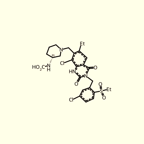 CCc1cc2c(=O)n(Cc3cc(Cl)ccc3S(=O)(=O)CC)c(=O)[nH]c2c(Cl)c1CN1CCC[C@@H](NC(=O)O)C1